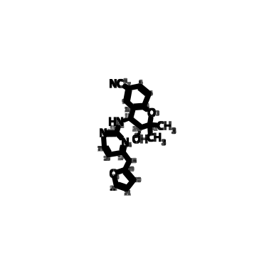 CC1(C)Oc2ccc(C#N)cc2[C@H](Nc2nccc(Cc3ccco3)n2)[C@H]1O